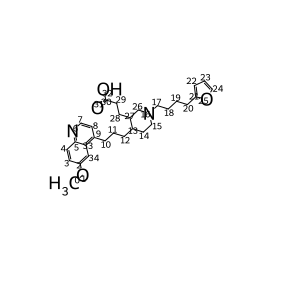 COc1ccc2nccc(CCCC3CCN(CCCCc4ccco4)CC3CCC(=O)O)c2c1